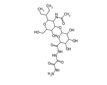 CCC(CC)C1OC(CO)C(O)C(OC2OC(C(=O)NNC(=O)C(=O)NN)C(O)C(O)C2O)C1NC(C)=O